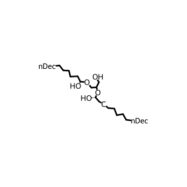 CCCCCCCCCCCCCCCCC[C@H](O)OC(CO)CO[C@H](O)CCCCCCCCCCCCCCC